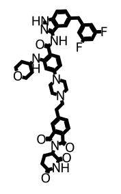 O=C1CCC(N2C(=O)c3ccc(CCN4CCN(c5ccc(C(=O)Nc6n[nH]c7ccc(Cc8cc(F)cc(F)c8)cc67)c(NC6CCOCC6)c5)CC4)cc3C2=O)C(=O)N1